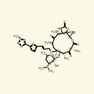 CC[C@H]1OC(=O)[C@H](C)C(=O)[C@H](C)[C@@H](O[C@@H]2O[C@H](C)C[C@H](N(C)C)[C@H]2O)[C@@](C)(OC/C=C/c2ccc(-c3nnn(C)n3)s2)C[C@@H](C)C(=O)[C@H](C)[C@H]2NC(=O)O[C@@]21C